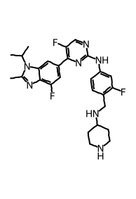 Cc1nc2c(F)cc(-c3nc(Nc4ccc(CNC5CCNCC5)c(F)c4)ncc3F)cc2n1C(C)C